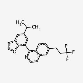 CC(C)c1cc(-c2nccc3cc(CCC(F)(F)F)ccc23)c2occc2c1